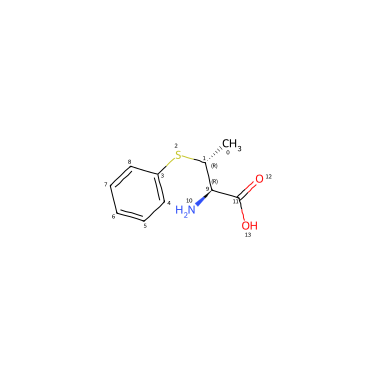 C[C@@H](Sc1ccccc1)[C@H](N)C(=O)O